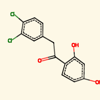 O=C(Cc1ccc(Cl)c(Cl)c1)c1ccc(O)cc1O